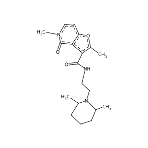 Cc1oc2ncn(C)c(=O)c2c1C(=O)NCCN1C(C)CCCC1C